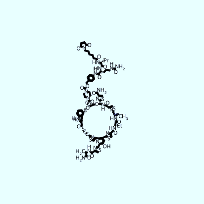 C=C(NC(=O)c1csc(-c2nc3c(cc2O)-c2nc(cs2)C(=O)N[C@@H](CC)C(=O)N/C(=C\C)c2nc(cs2)C(=O)N[C@H](c2nc(C(N)=O)cs2)C[C@H](OC(=O)N2CCN(C(=O)OCc4ccc(NC(=O)[C@H](CCCNC(N)=O)NC(=O)[C@@H](NC(=O)CCCCCN5C(=O)C=CC5=O)C(C)C)cc4)CC2)C(=O)OCc2cccc4[nH]c(c(C)c24)C(=O)SCCc2nc-3cs2)n1)C(N)=O